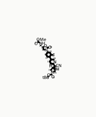 COC(=O)NC[C@H]1CN(c2ccc(-c3ccc([C@@]4(C#N)[C@@H]5CN(C(=O)OC(C)(C)C)C[C@@H]54)nc3)c(F)c2)C(=O)O1